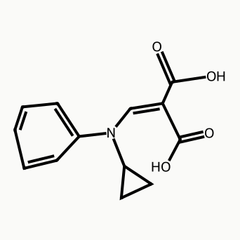 O=C(O)C(=CN(c1ccccc1)C1CC1)C(=O)O